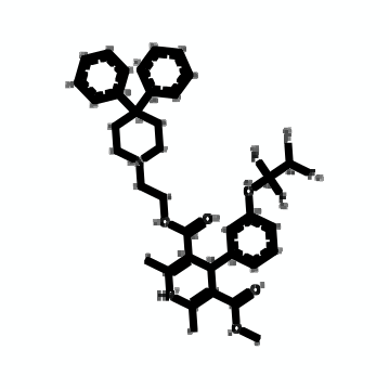 COC(=O)C1=C(C)NC(C)=C(C(=O)OCCN2CCC(c3ccccc3)(c3ccccc3)CC2)C1c1cccc(OC(F)(F)C(F)F)c1